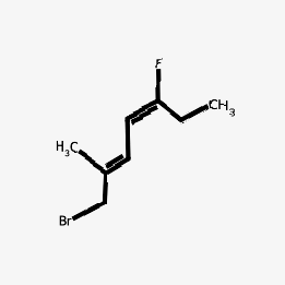 CC/C(F)=C\C=C(/C)CBr